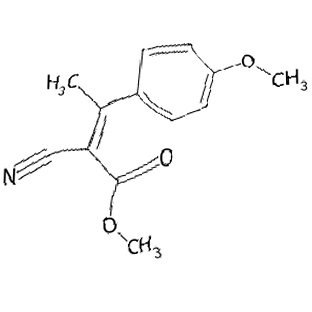 COC(=O)C(C#N)=C(C)c1ccc(OC)cc1